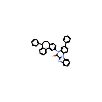 O=c1c2nc3ccccc3n2c2ccc(-c3ccccc3)cc2n1-c1ccc2c(c1)-c1ccccc1C(c1ccccc1)CC2